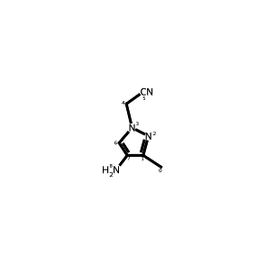 Cc1nn(CC#N)cc1N